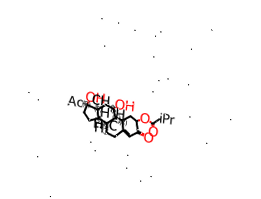 CC(=O)[C@@]1(O)CC[C@H]2[C@@H]3CCC4=CC(=O)C(OC(=O)C(C)C)C[C@]4(C)[C@H]3[C@@H](O)C[C@@]21C